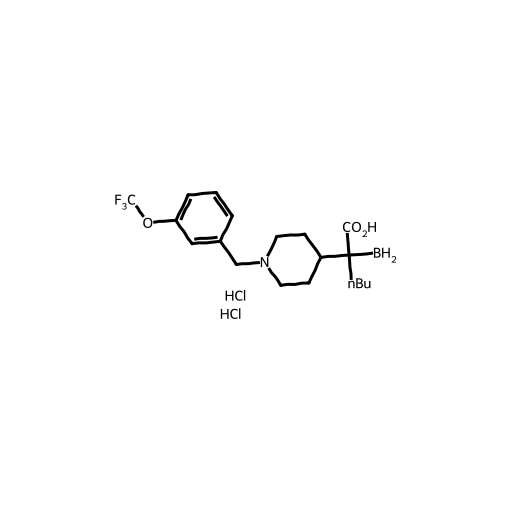 BC(CCCC)(C(=O)O)C1CCN(Cc2cccc(OC(F)(F)F)c2)CC1.Cl.Cl